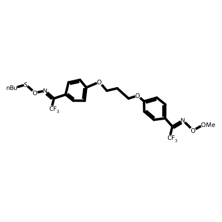 CCCCSO/N=C(/c1ccc(OCCCOc2ccc(/C(=N/OOC)C(F)(F)F)cc2)cc1)C(F)(F)F